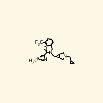 Cn1cnc(C(=O)N(Cc2cccc(C(F)(F)F)c2)CC2C3CN(CC4CC4)CC32)c1